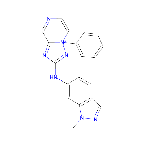 Cn1ncc2ccc(NC3=N[N+]4(c5ccccc5)C=CN=CC4=N3)cc21